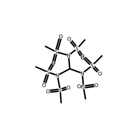 CS(=O)(=O)N(C(N(S(C)(=O)=O)S(C)(=O)=O)N(S(C)(=O)=O)S(C)(=O)=O)S(C)(=O)=O